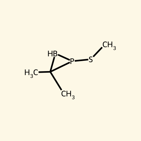 CSP1BC1(C)C